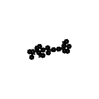 c1ccc(-c2nc(-n3c4cc5sc6ccccc6c5c5c4c4c6c(cccc6ccc43)-c3cc(-c4cccc6c4c4ccccc4n6-c4ccc(-c6ccc(-n7c8cc9sc%10ccccc%10c9c9c8c8c%10c(cccc%10ccc87)-c7ccccc7-9)cc6)cc4)ccc3-5)nc3ccccc23)cc1